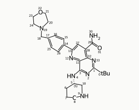 CC(C)(C)c1nc(N[C@H]2CCCNC2)c2nc(-c3ccc(CN4CCOCC4)cc3)cc(C(N)=O)c2n1